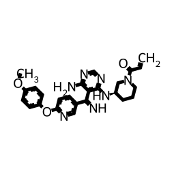 C=CC(=O)N1CCC[C@@H](Nc2ncnc(N)c2C(=N)c2ccc(Oc3ccc(OC)cc3)nc2)C1